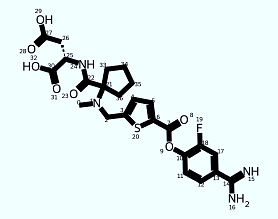 CN(Cc1ccc(C(=O)Oc2ccc(C(=N)N)cc2F)s1)C1(C(=O)N[C@@H](CC(=O)O)C(=O)O)CCCC1